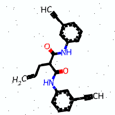 C#Cc1cccc(NC(=O)C(CC=C)C(=O)Nc2cccc(C#C)c2)c1